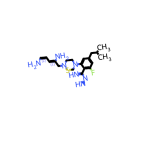 CC(C)Cc1cc(F)c(C(=N)N=N)c(N2CCN(C/C(N)=C/C=C\N)SC2)c1